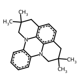 CC1(C)Cc2ccc3c4c2N(C1)c1ccccc1N4CC(C)(C)C3